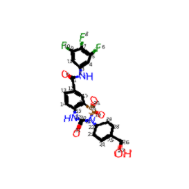 O=C(Nc1cc(F)c(F)c(F)c1)c1ccc2c(c1)S(=O)(=O)N(C1CC=C(CO)CC1)C(=O)N2